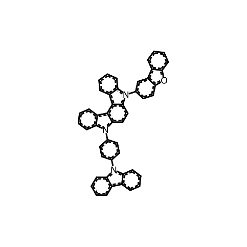 c1ccc2c(c1)oc1ccc(-n3c4ccccc4c4c5c6ccccc6n(-c6ccc(-n7c8ccccc8c8ccccc87)cc6)c5ccc43)cc12